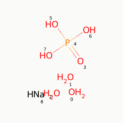 O.O.O.O=P(O)(O)O.[NaH]